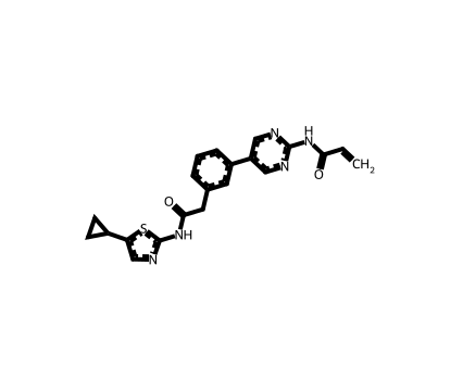 C=CC(=O)Nc1ncc(-c2cccc(CC(=O)Nc3ncc(C4CC4)s3)c2)cn1